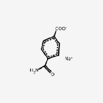 NC(=O)c1ccc(C(=O)[O-])cc1.[Na+]